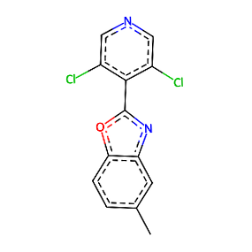 Cc1ccc2oc(-c3c(Cl)cncc3Cl)nc2c1